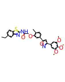 CCc1ccc2sc(NC(=O)COc3cc(-c4cc(-c5cc(OC)c(OC)c(OC)c5)no4)ccc3C)nc2c1